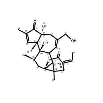 C/C=C(/C)C(=O)O[C@@]12C[C@@H](C)[C@@]3(O)C(C=C(CO)C[C@]4(O)C(=O)C(C)=C[C@@H]34)[C@H]1C2(C)C